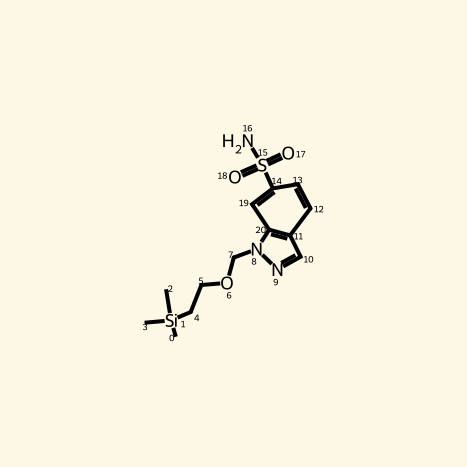 C[Si](C)(C)CCOCn1ncc2ccc(S(N)(=O)=O)cc21